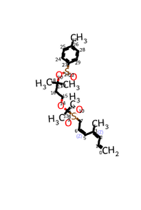 C=C/C=C(C)\C=C/CS(=O)(=O)C(C)(C)OCCC(C)(C)OS(=O)c1ccc(C)cc1